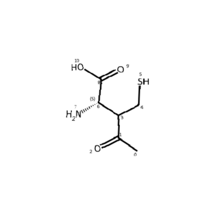 CC(=O)C(CS)[C@H](N)C(=O)O